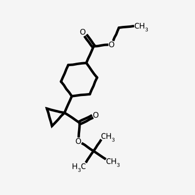 CCOC(=O)C1CCC(C2(C(=O)OC(C)(C)C)CC2)CC1